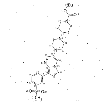 CC(C)(C)OC(=O)N1CCC(N2CCN(c3cnc4c(-c5cccc(S(C)(=O)=O)c5)cnn4c3)CC2)CC1